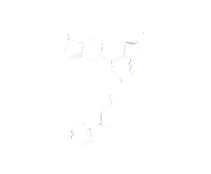 CCCc1cc2c(N3CCn4c(nnc4C(F)(F)F)C3)nc(OCCNC(=O)c3ccccn3)nc2s1